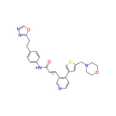 O=C(/C=C/c1cnccc1-c1csc(CN2CCOCC2)c1)Nc1ccc(CCc2nnco2)cc1